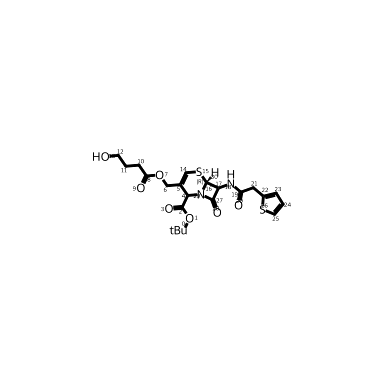 CC(C)(C)OC(=O)C1C(COC(=O)CCCO)=CS[C@@H]2C(NC(=O)Cc3cccs3)C(=O)N12